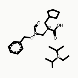 CCN(C(C)C)C(C)C.O=CN(C[C@@H](CC1CCCC1)C(=O)O)OCc1ccccc1